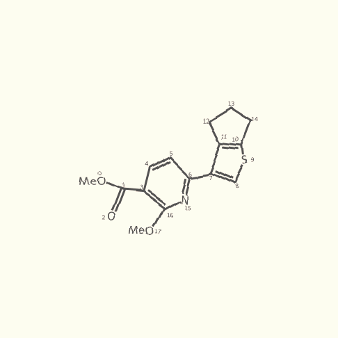 COC(=O)c1ccc(-c2csc3c2CCC3)nc1OC